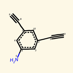 C#Cc1cc(N)cc(C#C)c1